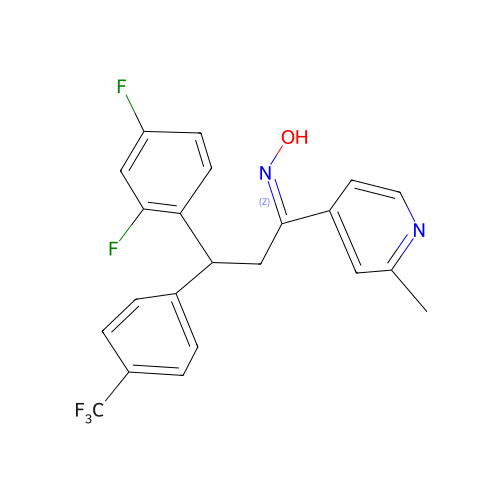 Cc1cc(/C(CC(c2ccc(C(F)(F)F)cc2)c2ccc(F)cc2F)=N\O)ccn1